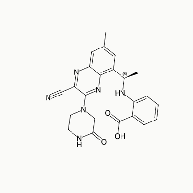 Cc1cc([C@@H](C)Nc2ccccc2C(=O)O)c2nc(N3CCNC(=O)C3)c(C#N)nc2c1